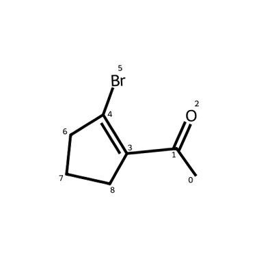 CC(=O)C1=C(Br)CCC1